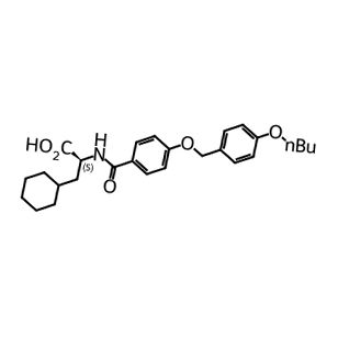 CCCCOc1ccc(COc2ccc(C(=O)N[C@@H](CC3CCCCC3)C(=O)O)cc2)cc1